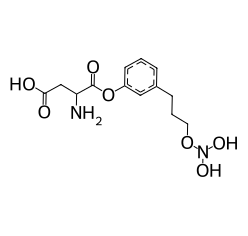 NC(CC(=O)O)C(=O)Oc1cccc(CCCON(O)O)c1